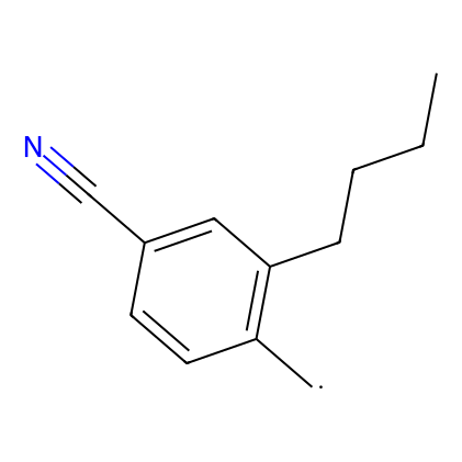 [CH2]c1ccc(C#N)cc1CCCC